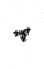 CC(C)(C)COC(=O)C(=Cc1ccc(Nc2nc(Nc3ccc(C=C(C(=O)OC(C)(C)C)C(=O)OC(C)(C)C)cc3)nc(Nc3ccc(C=C(C(=O)OC(C)(C)C)C(=O)OC(C)(C)C)cc3)n2)cc1)C(=O)OCC(C)(C)C